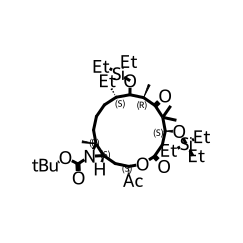 CC[Si](CC)(CC)OC1[C@@H](C)CCC[C@]2(C)[C@H](C[C@@H](C(C)=O)OC(=O)C[C@H](O[Si](CC)(CC)CC)C(C)(C)C(=O)[C@@H]1C)N2C(=O)OC(C)(C)C